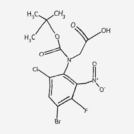 CC(C)(C)OC(=O)N(CC(=O)O)c1c(Cl)cc(Br)c(F)c1[N+](=O)[O-]